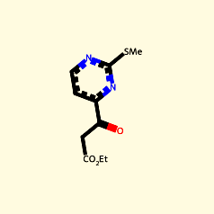 CCOC(=O)CC(=O)c1ccnc(SC)n1